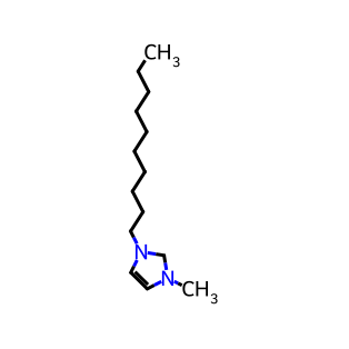 CCCCCCCCCCN1C=CN(C)C1